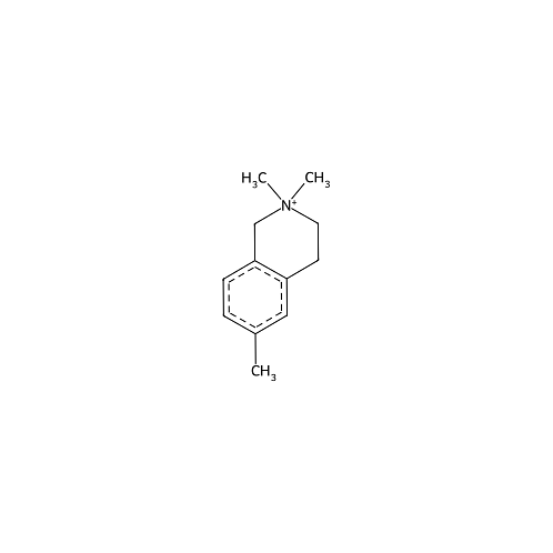 Cc1ccc2c(c1)CC[N+](C)(C)C2